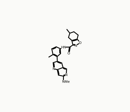 CNc1cc2ncc(-c3cc(NC(=O)c4noc5c4CC(C)CC5)ccc3C)cc2cn1